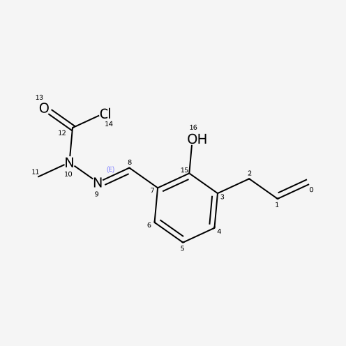 C=CCc1cccc(/C=N/N(C)C(=O)Cl)c1O